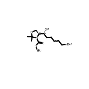 CCCCCCCCCCCCCCC[C@@H](O)[C@@H]1COC(C)(C)N1C(=O)OC(C)(C)C